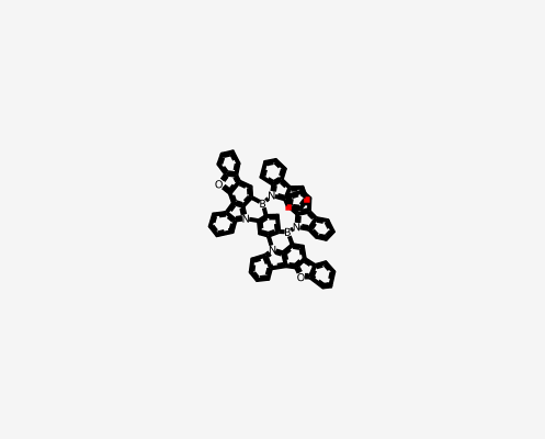 c1ccc2c(c1)oc1c2cc2c3c1c1ccccc1n3-c1cc3c(cc1B2n1c2ccccc2c2ccccc21)B(n1c2ccccc2c2ccccc21)c1cc2c4ccccc4oc2c2c4ccccc4n-3c12